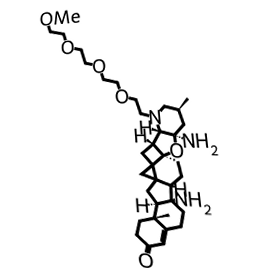 COCCOCCOCCOCCN1C[C@@H](C)C[C@@]2(N)O[C@@]34CC[C@@H]5C6(C[C@H]7[C@@]5(N)CCC5=CC(=O)CC[C@@]57C)CC63C[C@@H]4[C@H]12